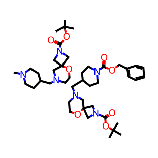 CC(C)(C)OC(=O)N1CC2(CN(CC3CCN(C(=O)OCc4ccccc4)CC3)CCO2)C1.CN1CCC(CN2CCOC3(C2)CN(C(=O)OC(C)(C)C)C3)CC1